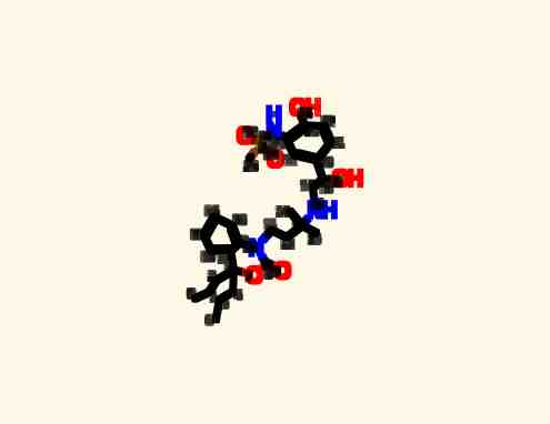 CCCC1(CCC)OC(=O)N(CCC(C)(C)NCC(O)c2ccc(O)c(NS(C)(=O)=O)c2)c2ccccc21